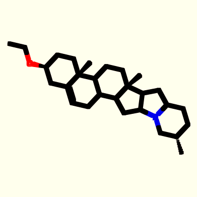 CCO[C@H]1CC[C@@]2(C)C(=CCC3C4CC5C(CC6CC[C@H](C)CN65)[C@@]4(C)CCC32)C1